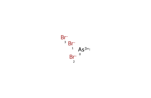 [As+3].[Br-].[Br-].[Br-]